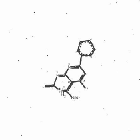 C=C(N)/N=C1/N=C(c2ccccc2)C=C(C)/C1=C(/N)NC